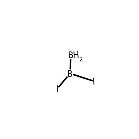 BB(I)I